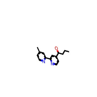 CCCC(=O)c1ccnc(-c2cc(C)ccn2)c1